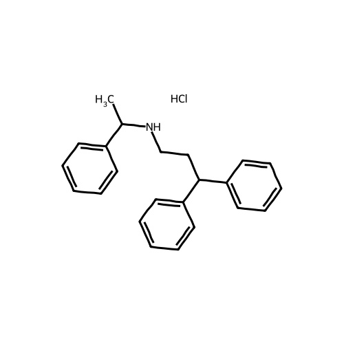 CC(NCCC(c1ccccc1)c1ccccc1)c1ccccc1.Cl